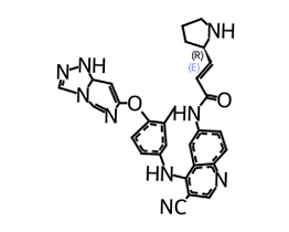 Cc1cc(Nc2c(C#N)cnc3ccc(NC(=O)/C=C/[C@H]4CCCN4)cc23)ccc1OC1=CC2NN=CN2C=N1